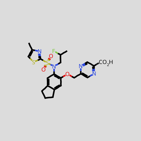 Cc1csc(S(=O)(=O)N(CC(C)F)c2cc3c(cc2OCc2cnc(C(=O)O)cn2)CCC3)n1